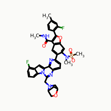 CNC(=O)c1c(-c2ccc(C)cc2F)oc2cc(N(C)S(C)(=O)=O)c(-c3ccc4nc(CN5CC6CC5CO6)n5c6cccc(F)c6cc5c4n3)cc12